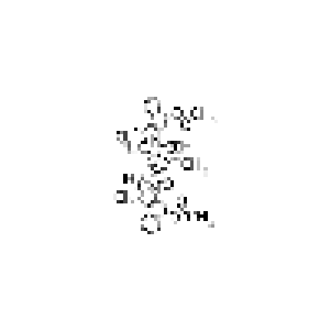 CC(=O)Oc1cc2c(c3ccccc13)[C@H](CCl)CN2C(=O)C1(C)C2C(C)C3(C(=O)N4C[C@@H](CCl)c5c4cc(OC(C)=O)c4ccccc54)C(C(C)C)C1C23